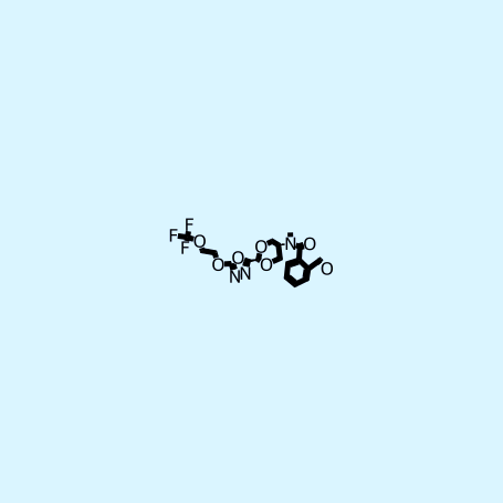 CN(C(=O)c1ccccc1C=O)[C@H]1CO[C@H](c2nnc(OCCOC(F)(F)F)o2)OC1